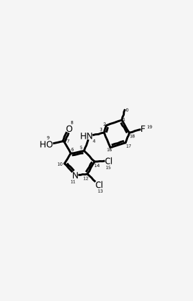 Cc1cc(Nc2c(C(=O)O)cnc(Cl)c2Cl)ccc1F